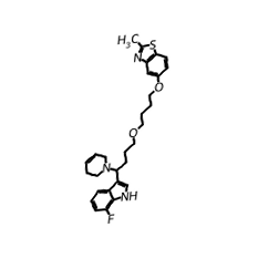 Cc1nc2cc(OCCCCOCCCC(c3c[nH]c4c(F)cccc34)N3CC=CCC3)ccc2s1